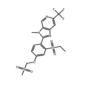 CCS(=O)(=O)c1cc(OCS(C)(=O)=O)ccc1-c1nc2cc(C(F)(F)F)ncc2n1C